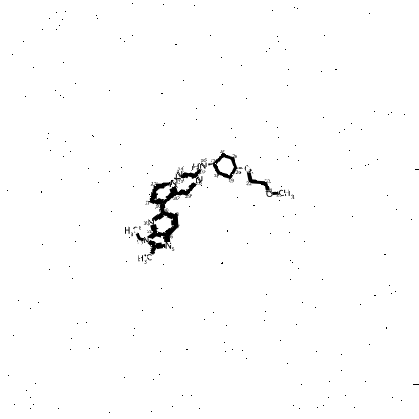 CCn1c(C)nc2ccc(-c3ccn4nc(N[C@H]5CC[C@@H](OCCOC)CC5)ncc34)nc21